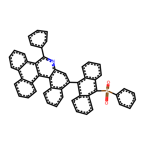 O=S(=O)(c1ccccc1)c1c2ccccc2c(-c2cc3nc(-c4ccccc4)c4c5ccccc5c5ccccc5c4c3c3ccccc23)c2ccccc12